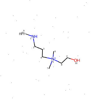 CCCNCCC[N+](C)(C)CCO